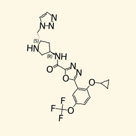 O=C(N[C@H]1CN[C@H](Cn2ccnn2)C1)c1nnc(-c2cc(OC(F)(F)F)ccc2OC2CC2)o1